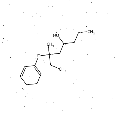 CCCC(O)CC(C)(CC)OC1=CCCC=C1